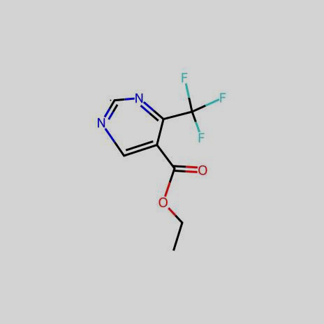 CCOC(=O)c1cn[c]nc1C(F)(F)F